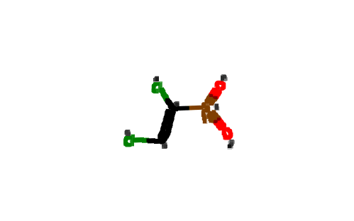 O=[SH](=O)C(Cl)=CCl